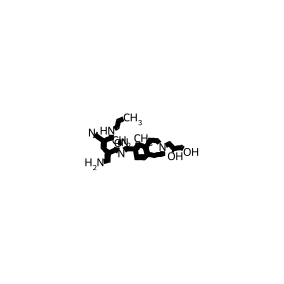 C=C(NCCC)/C(C#N)=C\C(=C/N)c1nc(-c2ccc3c(c2C)CCN(C[C@H](O)CO)CC3)no1